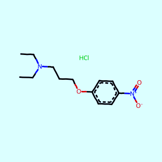 CCN(CC)CCCOc1ccc([N+](=O)[O-])cc1.Cl